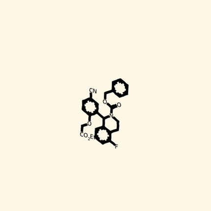 CCOC(=O)COc1ccc(C#N)cc1C1c2cccc(F)c2CCN1C(=O)OCc1ccccc1